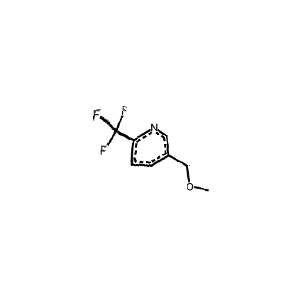 CO[CH]c1ccc(C(F)(F)F)nc1